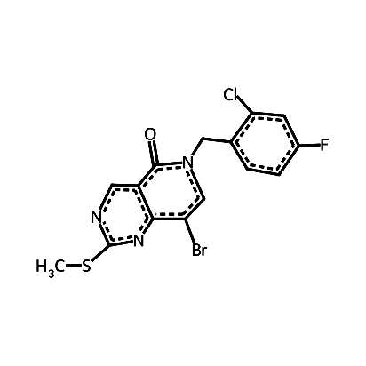 CSc1ncc2c(=O)n(Cc3ccc(F)cc3Cl)cc(Br)c2n1